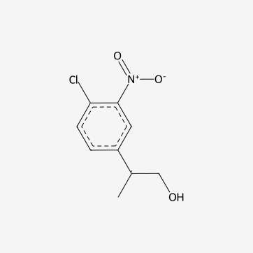 C[C](CO)c1ccc(Cl)c([N+](=O)[O-])c1